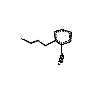 C[CH]CCc1ccccc1C#N